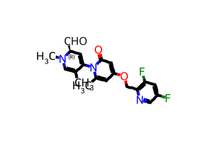 CC1=CN(C)[C@@H](C=O)C=C1n1c(C)cc(OCc2ncc(F)cc2F)cc1=O